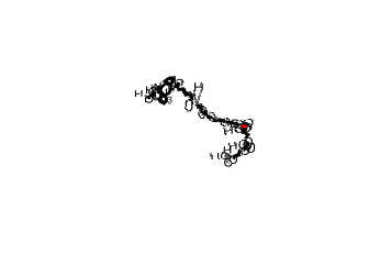 CC(C)(CO)n1[nH]c2c1-c1ccccc1CN(C(=O)CCCCC(=O)NCCOCCOCCOCCOP(=O)(O)OCCCOP(=O)(O)OCCCO[PH](=O)O)c1ccccc1-2